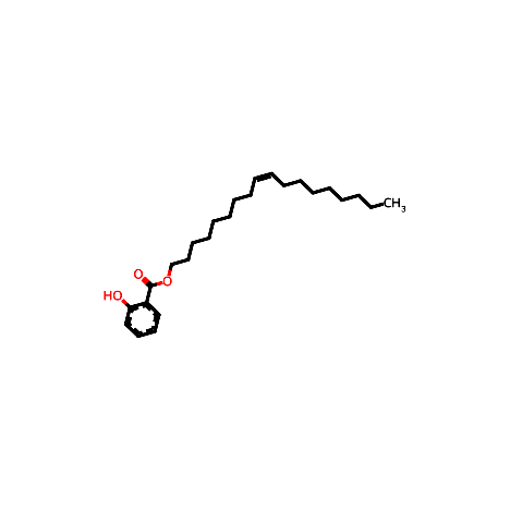 CCCCCCCC/C=C\CCCCCCCCOC(=O)c1ccccc1O